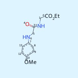 CCOC(=O)CNC(=O)CNc1ccc(OC)cc1